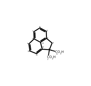 O=C(O)C1(C(=O)O)Cc2cccc3cccc1c23